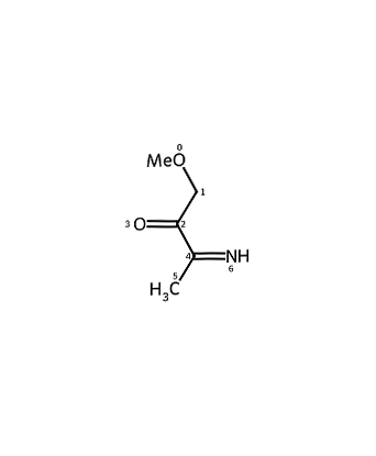 COCC(=O)C(C)=N